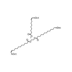 CCCCCCCC/C=C\CCCCCCCCCC(=O)O[C@H](COC(=O)CCCCCCC/C=C\CCCCCCCC)COC(=O)CCCCCCCCCCCCCCCCCCCCC